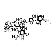 CO[C@H](COP(=O)(O)OC)[C@@H](O)[C@@H](OP(=O)(O)OC[C@@H]1C[C@@H](O)[C@H](n2cnc3c(N)nccc32)O1)n1cnc2c(=O)[nH]c(N)nc21